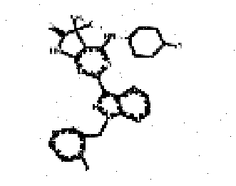 CC1(C)C(=O)Nc2nc(-c3nn(Cc4ccccc4F)c4ncccc34)nc(N[C@H]3CC[C@H](O)CC3)c21